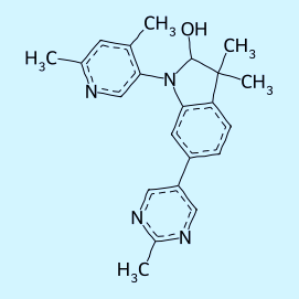 Cc1cc(C)c(N2c3cc(-c4cnc(C)nc4)ccc3C(C)(C)C2O)cn1